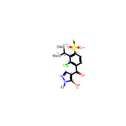 CCn1ncc(C(=O)c2ccc(S(C)(=O)=O)c(C(OC)OC)c2Cl)c1O